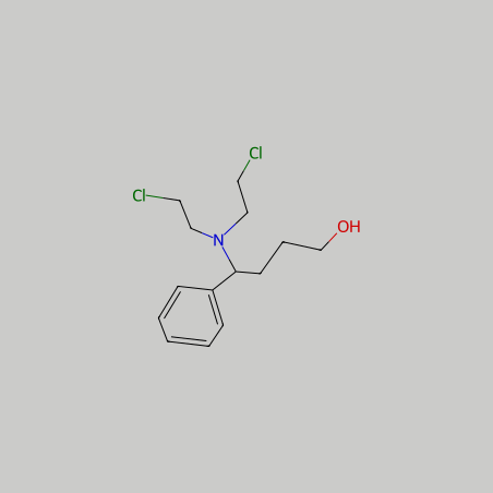 OCCCC(c1ccccc1)N(CCCl)CCCl